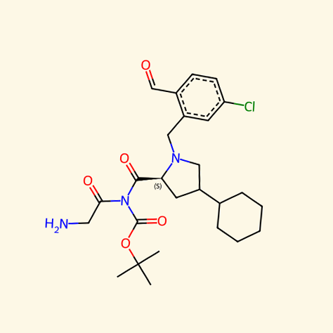 CC(C)(C)OC(=O)N(C(=O)CN)C(=O)[C@@H]1CC(C2CCCCC2)CN1Cc1cc(Cl)ccc1C=O